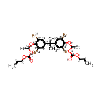 C=CCOC(=O)OC(CC)Oc1c(Br)cc(C(C)(C)c2cc(Br)c(OC(CC)OC(=O)OCC=C)c(Br)c2)cc1Br